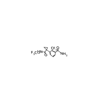 NC(=O)c1cccc(C2(C(=O)NCC(F)(F)F)CC2)c1C(F)(F)F